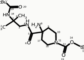 CC(C)(CNC(=O)C1(N)CCN(C(=O)OC(C)(C)C)CC1)NC(=O)C(C)(C)C